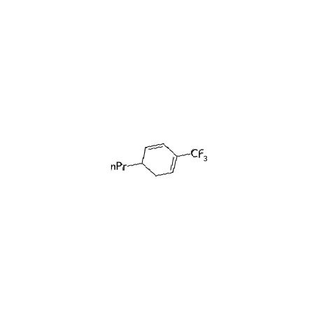 CCCC1C=CC(C(F)(F)F)=CC1